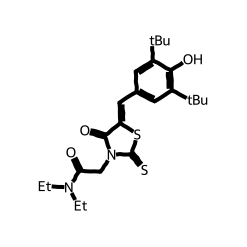 CCN(CC)C(=O)CN1C(=O)/C(=C/c2cc(C(C)(C)C)c(O)c(C(C)(C)C)c2)SC1=S